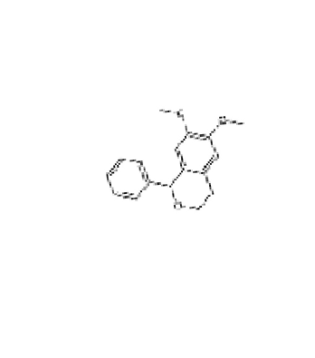 COc1cc2c(cc1OC)C(c1ccccc1)OCC2